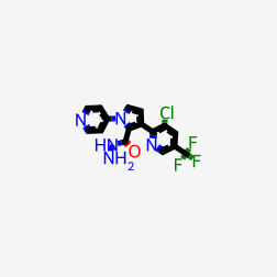 NNC(=O)c1c(-c2ncc(C(F)(F)F)cc2Cl)ccn1-c1ccncc1